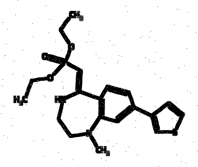 CCOP(=O)(/C=C1\NCCN(C)c2cc(-c3ccsc3)ccc21)OCC